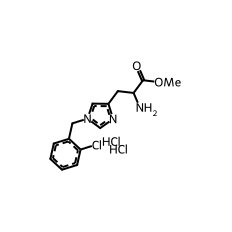 COC(=O)C(N)Cc1cn(Cc2ccccc2Cl)cn1.Cl.Cl